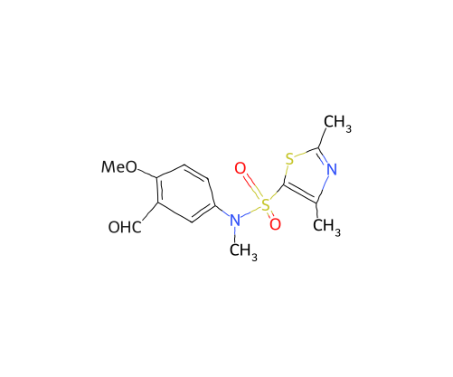 COc1ccc(N(C)S(=O)(=O)c2sc(C)nc2C)cc1C=O